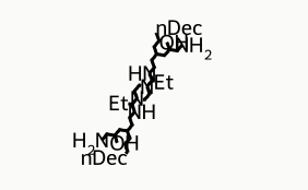 CCCCCCCCCCCCCC(CCNC(CC)N1CCN(C(CC)NCCC(CCCCCCCCCCCCC)CC(O)CN)CC1)CC(O)CN